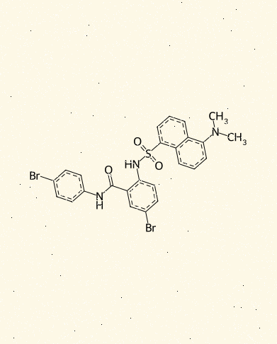 CN(C)c1cccc2c(S(=O)(=O)Nc3ccc(Br)cc3C(=O)Nc3ccc(Br)cc3)cccc12